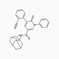 N#Cc1ccccc1-c1cc(C(=O)NC23CC4CC(CC(C4)C2)C3)cn(-c2ccccc2)c1=O